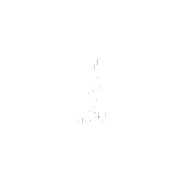 NC(CO)(CO)c1ccc2cc(Oc3cccc(OCCCC(F)(F)F)c3)ccc2c1